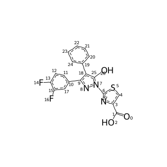 O=C(O)c1csc(-n2nc(-c3ccc(F)c(F)c3)c(-c3ccccc3)c2O)n1